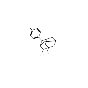 NC1C2CC3CC(CC1(O)C3)C2c1ccc(O)cc1